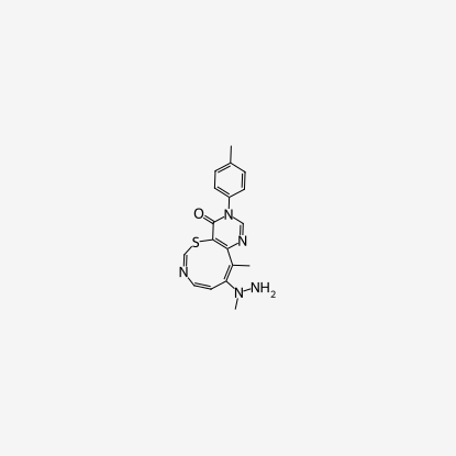 Cc1ccc(-n2cnc3c(C)c(N(C)N)ccncsc3c2=O)cc1